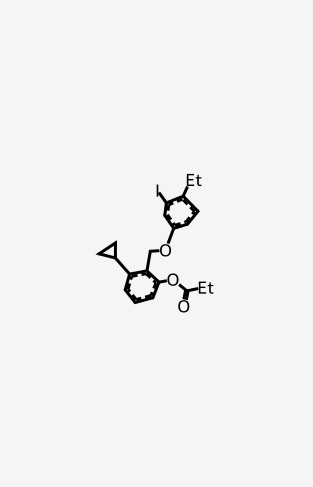 CCC(=O)Oc1cccc(C2CC2)c1COc1ccc(CC)c(I)c1